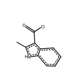 Cc1[nH]c2ccccc2c1C(=O)Cl